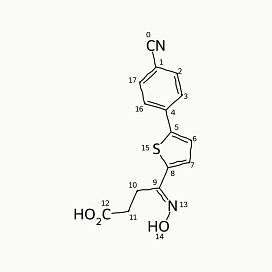 N#Cc1ccc(-c2ccc(/C(CCC(=O)O)=N/O)s2)cc1